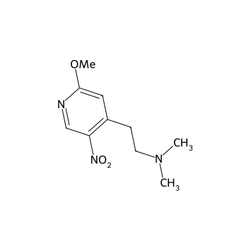 COc1cc(CCN(C)C)c([N+](=O)[O-])cn1